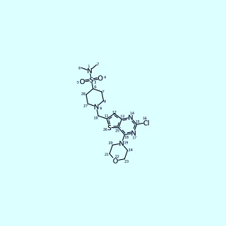 CN(C)S(=O)(=O)C1CCN(Cc2cc3nc(Cl)nc(N4CCOCC4)c3s2)CC1